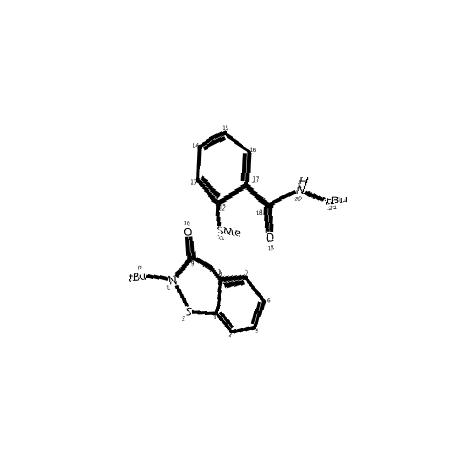 CC(C)(C)n1sc2ccccc2c1=O.CSc1ccccc1C(=O)NC(C)(C)C